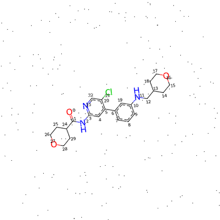 O=C(Nc1cc(-c2cccc(NCC3CCOCC3)c2)c(Cl)cn1)C1CCOCC1